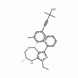 CCn1nc(-c2ccccn2)c2c1N[C@H](C)CS[C@@H]2c1ccc(C#CC(C)(C)O)cc1C